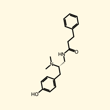 CN(C)[C@H](CNC(=O)CCc1ccccc1)Cc1ccc(O)cc1